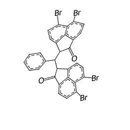 O=C1c2ccc(Br)c3c(Br)ccc(c23)C1C(c1ccccc1)C1C(=O)c2ccc(Br)c3c(Br)ccc1c23